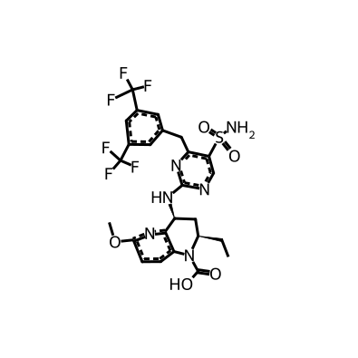 CC[C@@H]1C[C@H](Nc2ncc(S(N)(=O)=O)c(Cc3cc(C(F)(F)F)cc(C(F)(F)F)c3)n2)c2nc(OC)ccc2N1C(=O)O